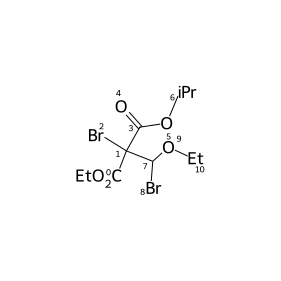 CCOC(=O)C(Br)(C(=O)OC(C)C)C(Br)OCC